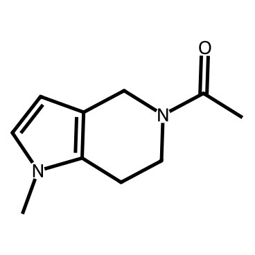 CC(=O)N1CCc2c(ccn2C)C1